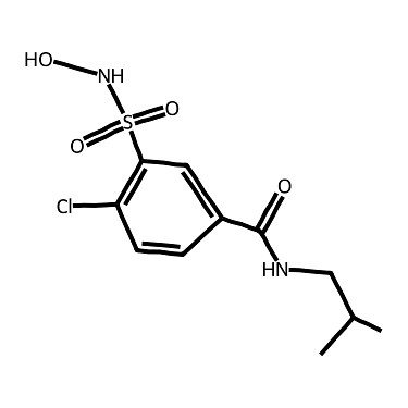 CC(C)CNC(=O)c1ccc(Cl)c(S(=O)(=O)NO)c1